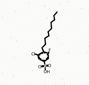 CCCCCCCCCCc1c(F)cc(S(=O)(=O)O)cc1Cl